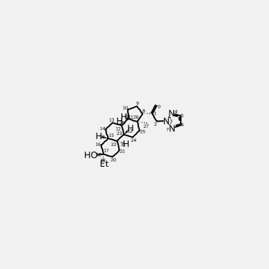 C=C(Cn1nccn1)[C@H]1CC[C@H]2[C@@H]3CC[C@H]4C[C@@](O)(CC)CC[C@@H]4[C@H]3CC[C@]12C